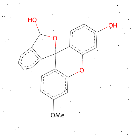 COc1ccc2c(c1)Oc1cc(O)ccc1C21OC(O)c2ccccc21